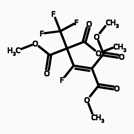 COC(=O)C(C(=O)OC)=C(F)C(C(=O)OC)(C(=O)OC)C(F)(F)F